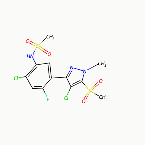 Cn1nc(-c2cc(NS(C)(=O)=O)c(Cl)cc2F)c(Cl)c1S(C)(=O)=O